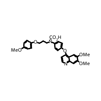 COc1ccc(OCCCN(C(=O)O)c2ccc(Oc3ccnc4cc(OC)c(OC)cc34)cc2)cc1